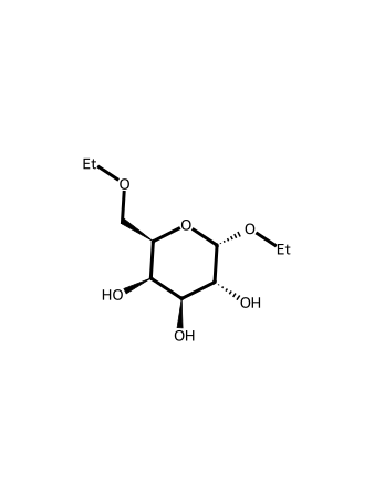 CCOC[C@H]1O[C@H](OCC)[C@H](O)[C@@H](O)[C@H]1O